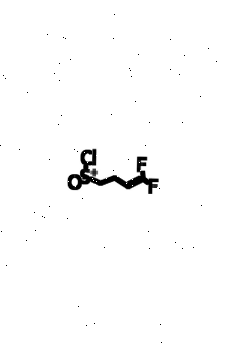 [O-][S+](Cl)CCC=C(F)F